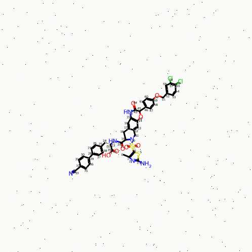 Cc1nc(N)sc1S(=O)(=O)N1Cc2cc3c(cc2CC1C(=O)N[C@@H](Cc1ccc(-c2ccc(C#N)cc2)cc1)C(=O)O)NC(=O)C(c1ccc(OCc2ccc(Cl)c(Cl)c2)cc1)O3